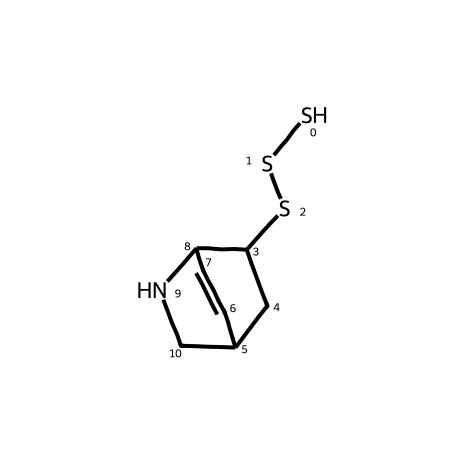 SSSC1CC2C=CC1NC2